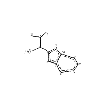 CC(C)C(O)c1cc2ccccc2o1